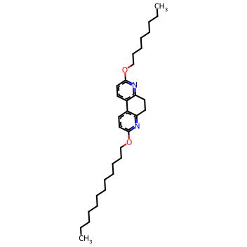 CCCCCCCCCCCCOc1ccc2c(n1)CCc1nc(OCCCCCCCC)ccc1-2